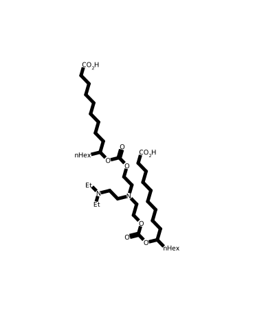 CCCCCCC(CCCCCCCCC(=O)O)OC(=O)OCCN(CCOC(=O)OC(CCCCCC)CCCCCCCCC(=O)O)CCN(CC)CC